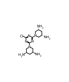 N[C@@H]1C[C@H](N)CN(c2nc(Cl)nc(N3C[C@H](N)C[C@H](N)C3)n2)C1